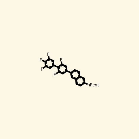 CCCCCc1ccc2cc(-c3cc(F)c(-c4cc(F)c(F)c(F)c4)c(F)c3)ccc2c1